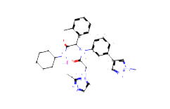 Cc1ccccc1C(C(=O)NC1CCCCC1)N(C(=O)Cn1ccnc1C)c1cccc(-c2cnn(C)c2)c1